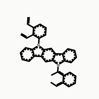 C=Cc1cccc(-n2c3ccccc3c3cc4c(cc32)c2ccccc2n4/C(C)=c2\cccc\c2=C\C)c1C=C